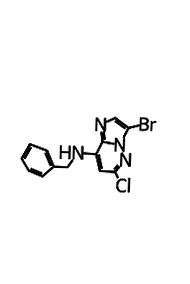 Clc1cc(NCc2ccccc2)c2ncc(Br)n2n1